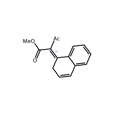 COC(=O)/C(C(C)=O)=C1\CC=Cc2ccccc21